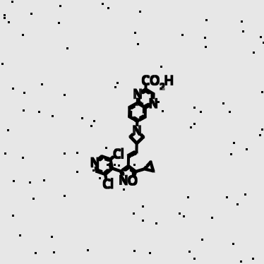 O=C(O)c1cnc2cc(N3CC(/C=C/c4c(-c5c(Cl)cncc5Cl)noc4C4CC4)C3)ccc2n1